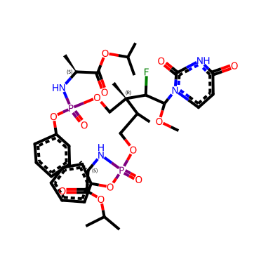 COC(C(F)[C@@](C)(COP(=O)(N[C@@H](C)C(=O)OC(C)C)Oc1ccccc1)C(C)COP(=O)(N[C@@H](C)C(=O)OC(C)C)Oc1ccccc1)n1ccc(=O)[nH]c1=O